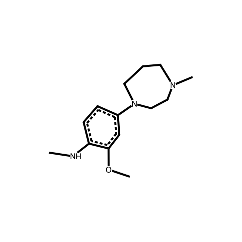 CNc1ccc(N2CCCN(C)CC2)cc1OC